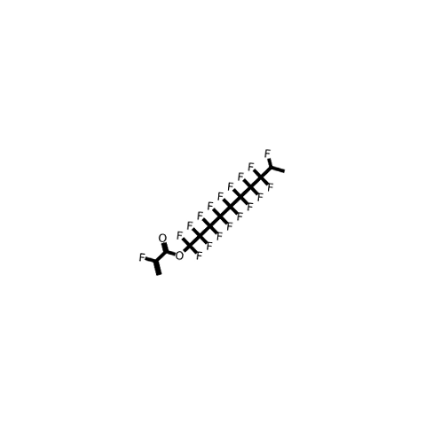 C=C(F)C(=O)OC(F)(F)C(F)(F)C(F)(F)C(F)(F)C(F)(F)C(F)(F)C(F)(F)C(F)(F)C(C)F